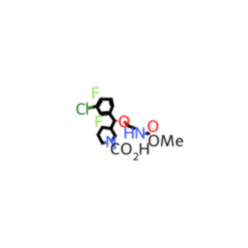 COC(=O)NCCO[C@@H](c1ccc(F)c(Cl)c1F)C1CCCN(C(=O)O)C1